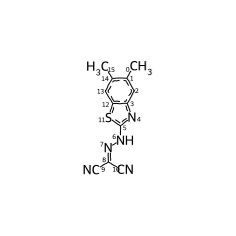 Cc1cc2nc(NN=C(C#N)C#N)sc2cc1C